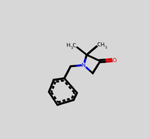 CC1(C)C(=O)CN1Cc1ccccc1